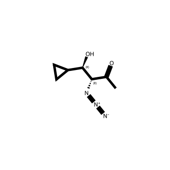 CC(=O)[C@H](N=[N+]=[N-])[C@H](O)C1CC1